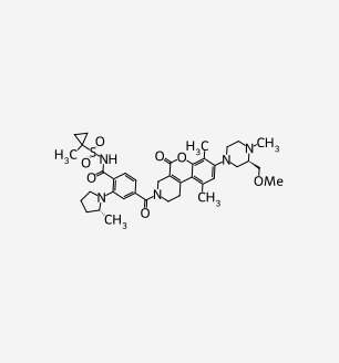 COC[C@H]1CN(c2cc(C)c3c4c(c(=O)oc3c2C)CN(C(=O)c2ccc(C(=O)NS(=O)(=O)C3(C)CC3)c(N3CCC[C@H]3C)c2)CC4)CCN1C